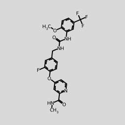 CNC(=O)c1cc(Oc2ccc(CNC(=O)Nc3cc(C(F)(F)F)ccc3OC)cc2F)ccn1